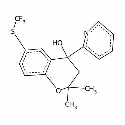 CC1(C)CC(O)(c2ccccn2)c2cc(SC(F)(F)F)ccc2O1